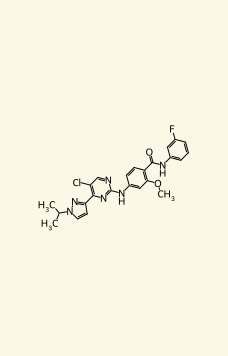 COc1cc(Nc2ncc(Cl)c(-c3ccn(C(C)C)n3)n2)ccc1C(=O)Nc1cccc(F)c1